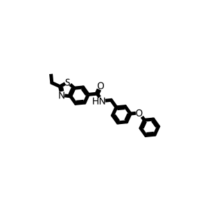 CCc1nc2ccc(C(=O)NCc3cccc(Oc4ccccc4)c3)cc2s1